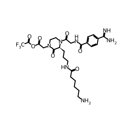 N=C(N)c1ccc(C(=O)NCC(=O)N2CCN(CC(=O)OC(=O)C(F)(F)F)C(=O)[C@@H]2CCCNC(=O)CCCCCN)cc1